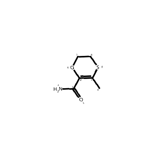 CC1=C(C(N)=O)OCCS1